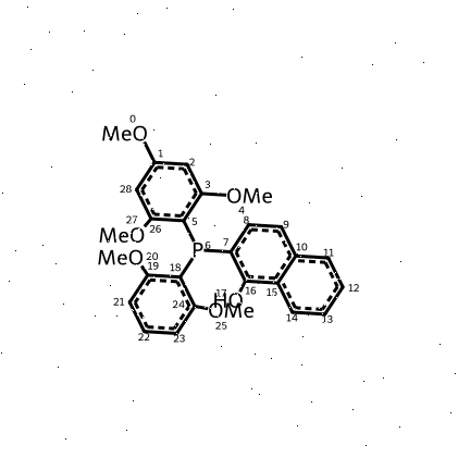 COc1cc(OC)c(P(c2ccc3ccccc3c2O)c2c(OC)cccc2OC)c(OC)c1